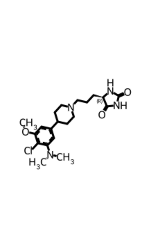 COc1cc(C2CCN(CCC[C@H]3NC(=O)NC3=O)CC2)cc(N(C)C)c1Cl